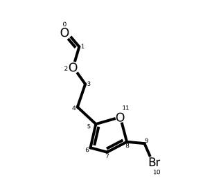 O=COCCc1ccc(CBr)o1